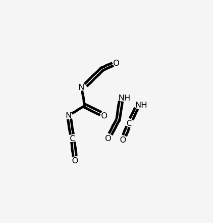 N=C=O.N=C=O.O=C=NC(=O)N=C=O